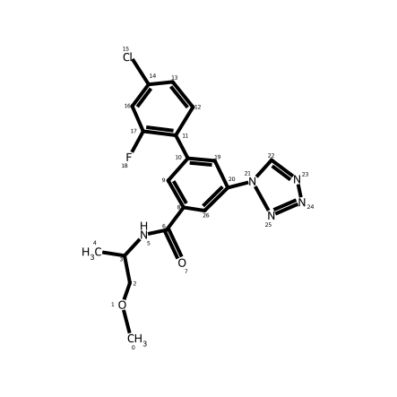 COCC(C)NC(=O)c1cc(-c2ccc(Cl)cc2F)cc(-n2cnnn2)c1